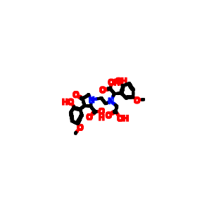 COc1ccc(O)c(C2C(=O)CN(CCN(CC(=O)O)C(C(=O)O)c3cc(OC)ccc3O)C2C(=O)O)c1